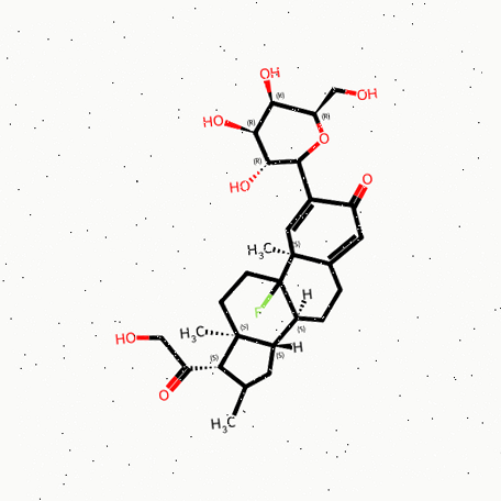 CC1C[C@H]2[C@@H]3CCC4=CC(=O)C(C5O[C@H](CO)[C@H](O)[C@H](O)[C@H]5O)=C[C@]4(C)C3(F)CC[C@]2(C)[C@H]1C(=O)CO